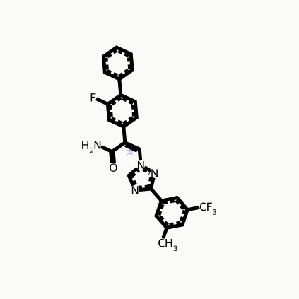 Cc1cc(-c2ncn(/C=C(\C(N)=O)c3ccc(-c4ccccc4)c(F)c3)n2)cc(C(F)(F)F)c1